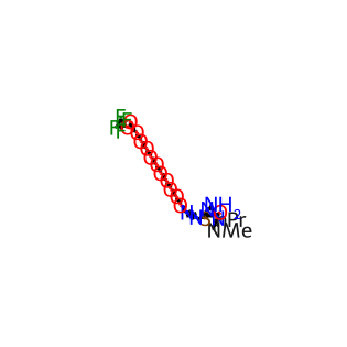 CCCN(CCCNC)C(=O)C1=Cc2sc(CN3CC4(CN(CCOCCOCCOCCOCCOCCOCCOCCOCCOCCOCCC(=O)Oc5c(F)c(F)cc(F)c5F)C4)C3)cc2N=C(N)C1